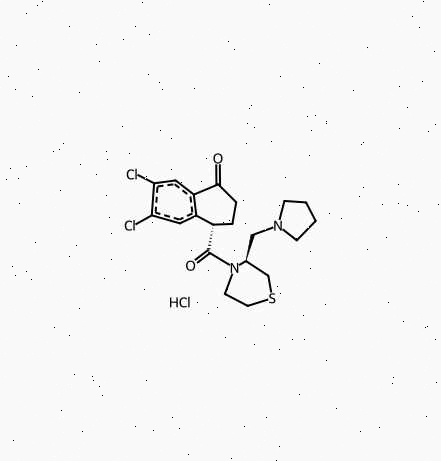 Cl.O=C1CC[C@H](C(=O)N2CCSC[C@@H]2CN2CCCC2)c2cc(Cl)c(Cl)cc21